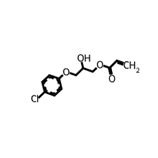 C=CC(=O)OCC(O)COc1ccc(Cl)cc1